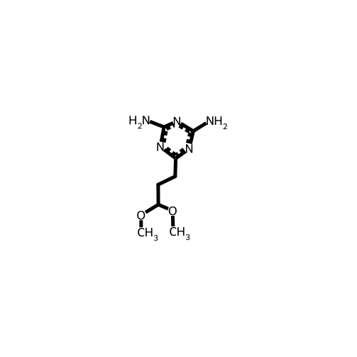 COC(CCc1nc(N)nc(N)n1)OC